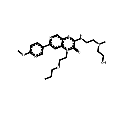 CCCOCCn1c(=O)c(NCCN(C)CCO)nc2cnc(-c3ccc(OC)nc3)cc21